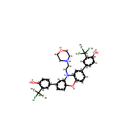 Oc1ccc(-c2ccc3c(c2)N(CCN2CCOCC2)c2cc(-c4ccc(O)c(C(F)(F)F)c4)ccc2O3)cc1C(F)(F)F